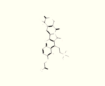 CC[C@@]1(O)C(=O)OCc2c1cc1n(c2=O)C(O)c2c-1nc1ccc(OCC(N)=O)cc1c2CC[Si](C)(C)C